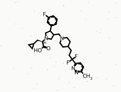 Cc1ccc(C(F)(F)CCC2CCN(CC3CN([C@H](CC4CC4)C(=O)O)CC3c3cccc(F)c3)CC2)nn1